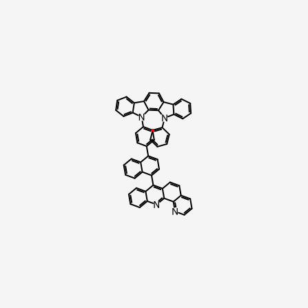 c1ccc(-n2c3ccccc3c3ccc4c5ccccc5n(-c5ccc(-c6ccc(-c7c8ccccc8nc8c7ccc7cccnc78)c7ccccc67)cc5)c4c32)cc1